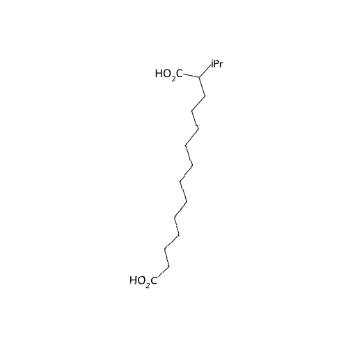 CC(C)C(CCCCCCCCCCCC(=O)O)C(=O)O